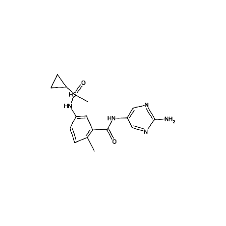 Cc1ccc(N[SH](C)(=O)C2CC2)cc1C(=O)Nc1cnc(N)nc1